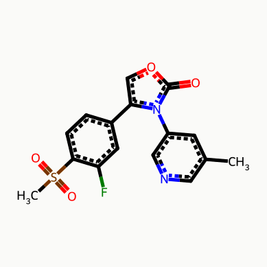 Cc1cncc(-n2c(-c3ccc(S(C)(=O)=O)c(F)c3)coc2=O)c1